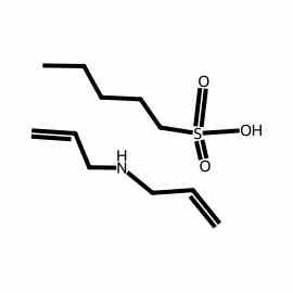 C=CCNCC=C.CCCCCS(=O)(=O)O